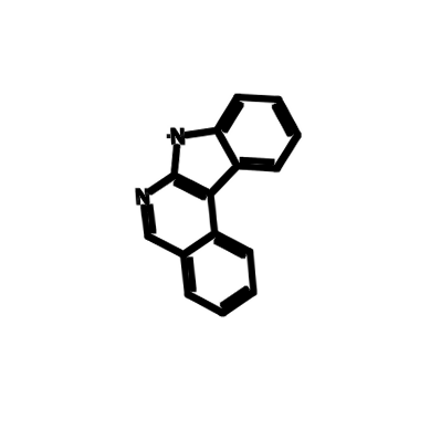 c1ccc2c(c1)[N]c1ncc3ccccc3c1-2